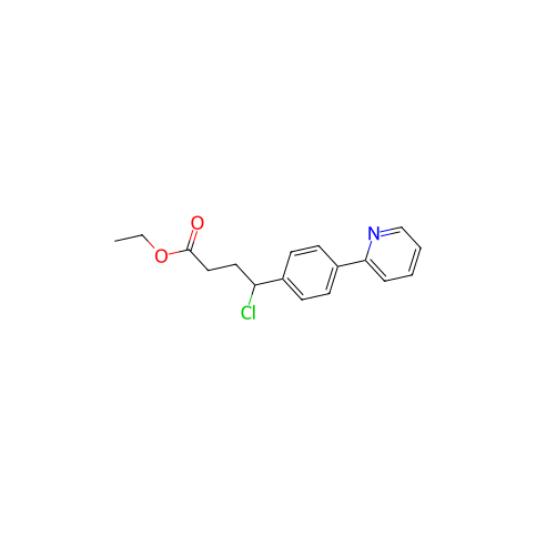 CCOC(=O)CCC(Cl)c1ccc(-c2ccccn2)cc1